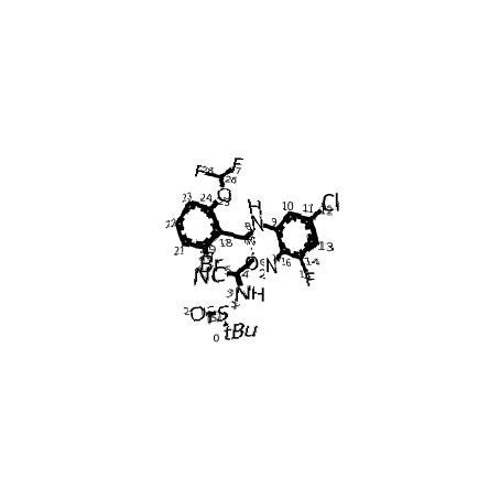 CC(C)(C)[S@@+]([O-])NC(C#N)C[C@@H](Nc1cc(Cl)cc(F)c1[N+](=O)[O-])c1c(Br)cccc1OC(F)F